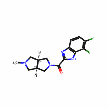 CN1C[C@@H]2CN(C(=O)c3nc4ccc(F)c(F)c4[nH]3)C[C@@H]2C1